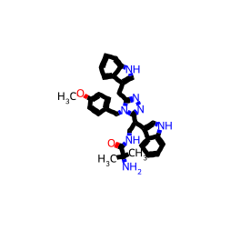 COc1ccc(Cn2c(Cc3c[nH]c4ccccc34)nnc2C(CNC(=O)C(C)(C)N)c2c[nH]c3ccccc23)cc1